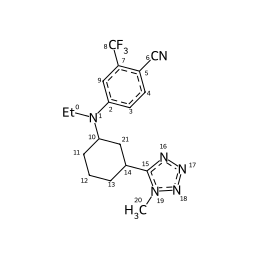 CCN(c1ccc(C#N)c(C(F)(F)F)c1)C1CCCC(c2nnnn2C)C1